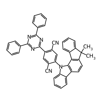 CC1(C)c2ccccc2-c2c1ccc1c3ccccc3n(-c3cc(C#N)c(-c4nc(-c5ccccc5)nc(-c5ccccc5)n4)cc3C#N)c21